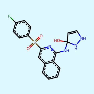 O=S(=O)(c1ccc(F)cc1)c1cc2ccccc2c(NC2(O)C=CNN2)n1